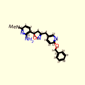 CNc1ccc(C2CC(Cc3ccc(OCc4ccccc4)nc3)=NO2)c(N)n1